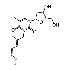 C=C/C=C\C=C(/C)Cn1c(=O)c(C)cn([C@H]2C[C@@H](O)C(CO)O2)c1=O